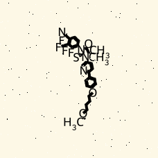 CCOCCCCOc1ccc(-c2ccc(N3C(=S)N(c4ccc(C#N)c(C(F)(F)F)c4F)C(=O)C3(C)C)cn2)cc1